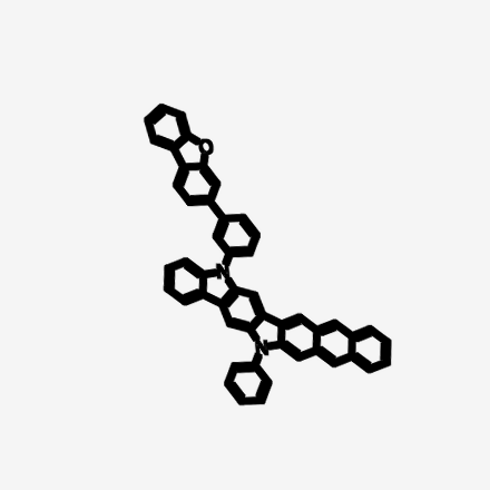 c1ccc(-n2c3cc4cc5ccccc5cc4cc3c3cc4c(cc32)c2ccccc2n4-c2cccc(-c3ccc4c(c3)oc3ccccc34)c2)cc1